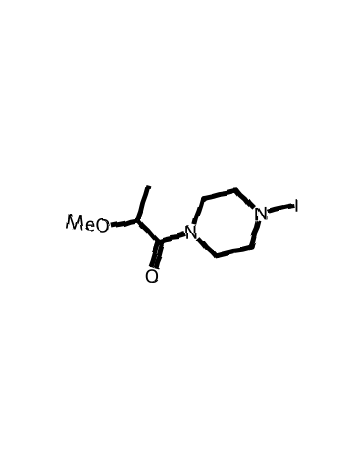 COC(C)C(=O)N1CCN(I)CC1